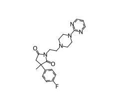 CC1(c2ccc(F)cc2)CC(=O)N(CCN2CCN(c3ncccn3)CC2)C1=O